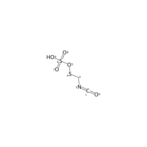 O=C=NCSOS(=O)(=O)O